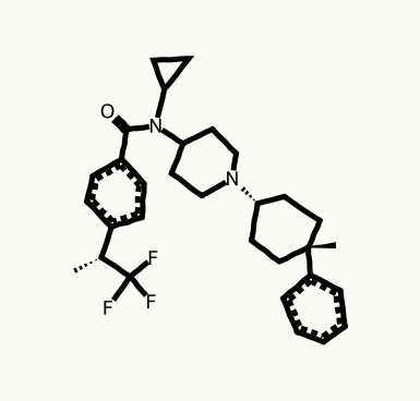 C[C@H](c1ccc(C(=O)N(C2CC2)C2CCN([C@H]3CC[C@@](C)(c4ccccc4)CC3)CC2)cc1)C(F)(F)F